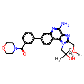 CCOCc1nc2c(N)nc3cc(-c4cccc(C(=O)N5CCOCC5)c4)ccc3c2n1CC(C)(C)O